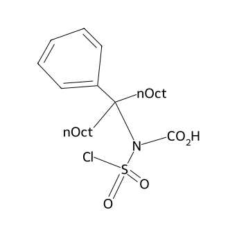 CCCCCCCCC(CCCCCCCC)(c1ccccc1)N(C(=O)O)S(=O)(=O)Cl